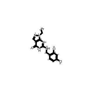 CC(C)Cn1ncc2c(=O)[nH]c(NCc3ccc(Cl)cc3Cl)nc21